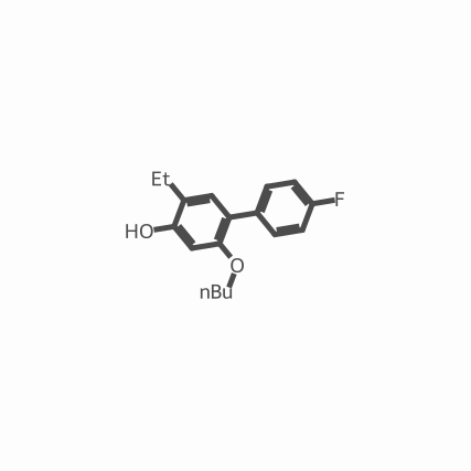 CCCCOc1cc(O)c(CC)cc1-c1ccc(F)cc1